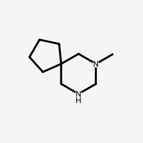 CN1CNCC2(CCCC2)C1